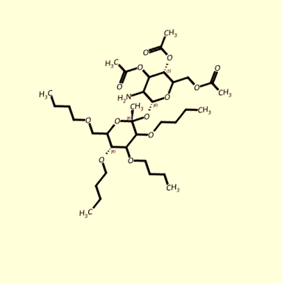 CCCCOCC1O[C@](C)(O[C@H]2OC(COC(C)=O)[C@@H](OC(C)=O)C(OC(C)=O)C2N)C(OCCCC)C(OCCCC)[C@@H]1OCCCC